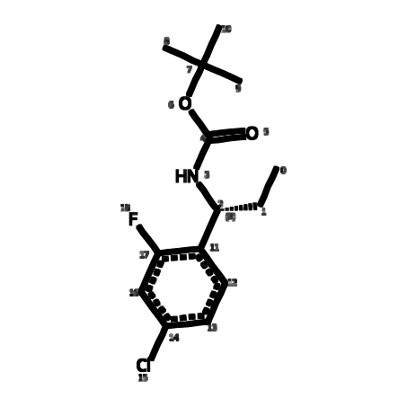 CC[C@@H](NC(=O)OC(C)(C)C)c1ccc(Cl)cc1F